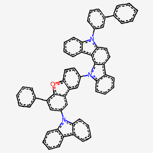 c1ccc(-c2cccc(-n3c4ccccc4c4c3ccc3c5ccccc5n(-c5ccc6oc7c(-c8ccccc8)cc(-n8c9ccccc9c9ccccc98)cc7c6c5)c34)c2)cc1